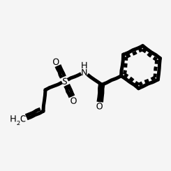 C=CCS(=O)(=O)NC(=O)c1ccccc1